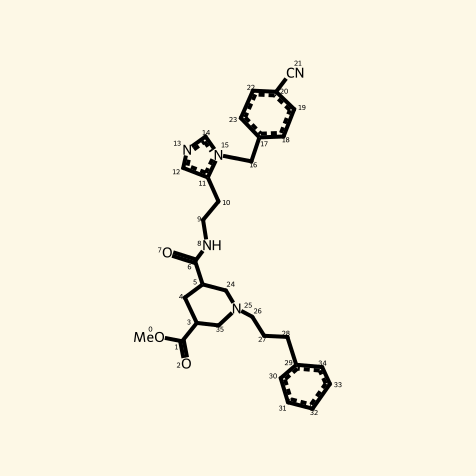 COC(=O)C1CC(C(=O)NCCc2cncn2Cc2ccc(C#N)cc2)CN(CCCc2ccccc2)C1